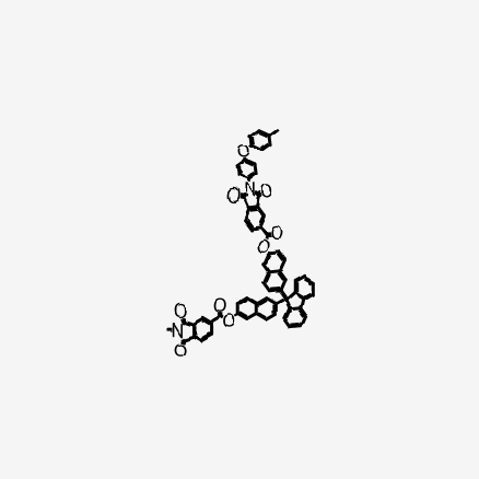 Cc1ccc(Oc2ccc(N3C(=O)c4ccc(C(=O)Oc5ccc6cc(C7(c8ccc9cc(OC(=O)c%10ccc%11c(c%10)C(=O)N(C)C%11=O)ccc9c8)c8ccccc8-c8ccccc87)ccc6c5)cc4C3=O)cc2)cc1